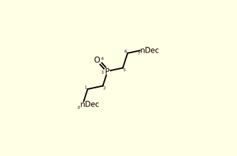 CCCCCCCCCCCC[P](=O)CCCCCCCCCCCC